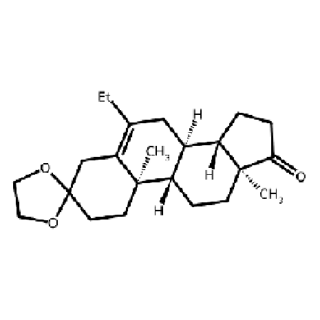 CCC1=C2CC3(CC[C@]2(C)[C@H]2CC[C@]4(C)C(=O)CC[C@H]4[C@@H]2C1)OCCO3